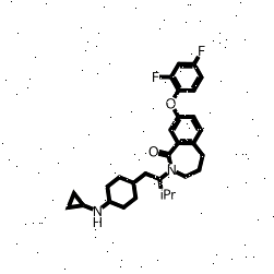 CC(C)C(CC1CCC(NC2CC2)CC1)N1CCCc2ccc(Oc3ccc(F)cc3F)cc2C1=O